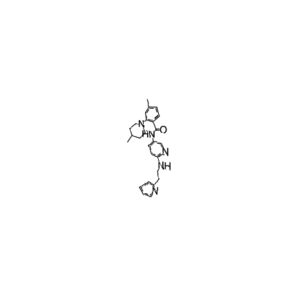 Cc1ccc(C(=O)Nc2ccc(NCCc3ccccn3)nc2)c(N2CCC(C)CC2)c1